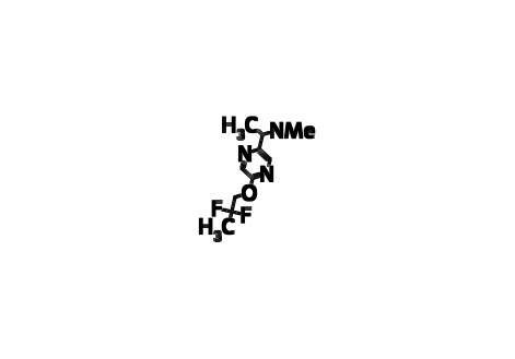 CNC(C)c1cnc(OCC(C)(F)F)cn1